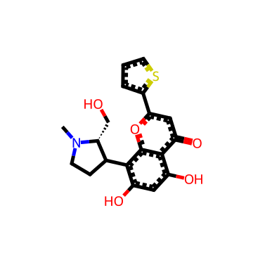 CN1CCC(c2c(O)cc(O)c3c(=O)cc(-c4cccs4)oc23)[C@H]1CO